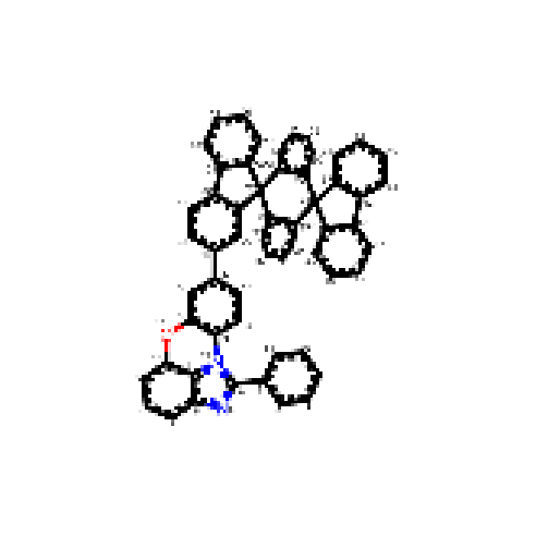 c1ccc(-c2nc3cccc4c3n2-c2ccc(-c3ccc5c(c3)C3(c6ccccc6-5)c5ccccc5C5(c6ccccc6-c6ccccc65)c5ccccc53)cc2O4)cc1